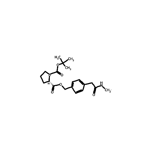 [CH2]NC(=O)Cc1ccc(COC(=O)[C@@H]2CCCN2C(=O)OC(C)(C)C)cc1